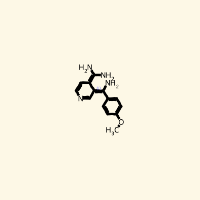 COc1ccc(/C(N)=c2\cnccc2=C(N)N)cc1